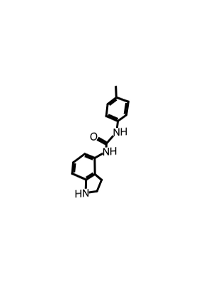 Cc1ccc(NC(=O)Nc2cccc3c2CCN3)cc1